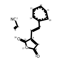 C=CC#N.O=C1C=C(C=Cc2ccccc2)C(=O)O1